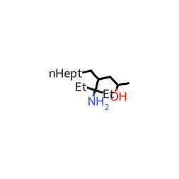 CCCCCCCCC(CC(C)O)C(N)(CC)CC